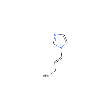 CCCCC[C]=Cn1ccnc1